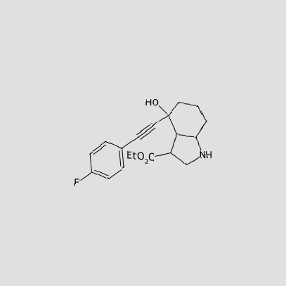 CCOC(=O)C1CNC2CCCC(O)(C#Cc3ccc(F)cc3)C21